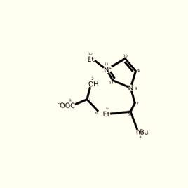 CC(O)C(=O)[O-].CCCCC(CC)Cn1cc[n+](CC)c1